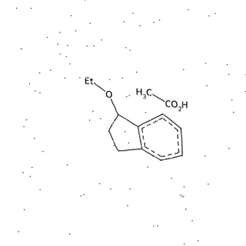 CC(=O)O.CCOC1CCc2ccccc21